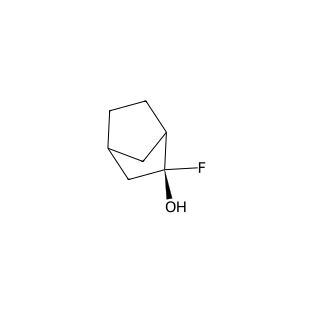 O[C@@]1(F)CC2CCC1C2